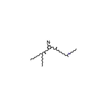 C=C(CCCCCCCC(C)/C=C/CCCCC)CCc1cc(CCC(=C)CC(CCCCCCCC)CCCCCCCC)cc(CN(C)C)c1